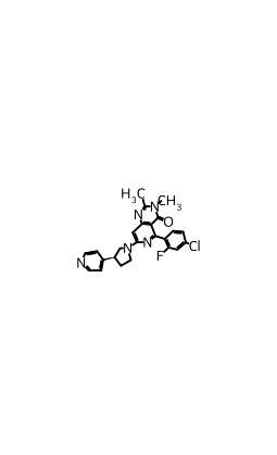 Cc1nc2cc(N3CC[C@@H](c4ccncc4)C3)nc(-c3ccc(Cl)cc3F)c2c(=O)n1C